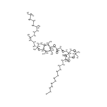 CCCCCCCCCCCCCC(=O)NC1(COCC(=O)Oc2c(C)c(C)c3c(c2C)CCC(C)(CCCC(C)CCCC(C)CCCC(C)C)O3)COC(C)(C)OC1